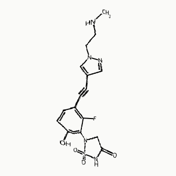 CNCCn1cc(C#Cc2ccc(O)c(N3CC(=O)NS3(=O)=O)c2F)cn1